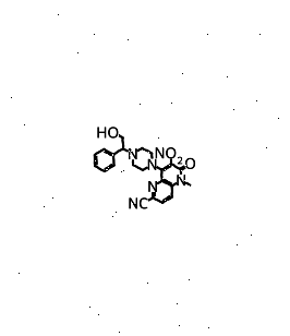 Cn1c(=O)c([N+](=O)[O-])c(N2CCN(C(CO)c3ccccc3)CC2)c2nc(C#N)ccc21